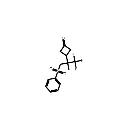 CC(CS(=O)(=O)c1ccccc1)(C1CC(=O)C1)C(F)(F)F